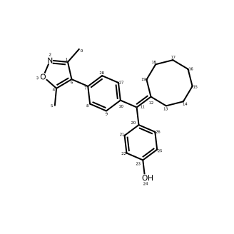 Cc1noc(C)c1-c1ccc(C(=C2CCCCCCC2)c2ccc(O)cc2)cc1